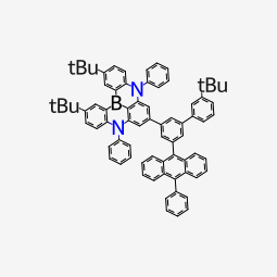 CC(C)(C)c1cccc(-c2cc(-c3cc4c5c(c3)N(c3ccccc3)c3ccc(C(C)(C)C)cc3B5c3cc(C(C)(C)C)ccc3N4c3ccccc3)cc(-c3c4ccccc4c(-c4ccccc4)c4ccccc34)c2)c1